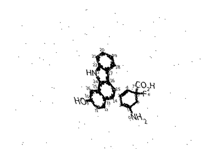 NC1=CC=CC(F)(C(=O)O)C1.Oc1ccc2ccc3c4ccccc4[nH]c3c2c1